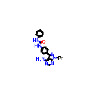 CC(C)n1nc(-c2ccc(NC(=O)Nc3ccccc3)cc2)c2c(N)ncnc21